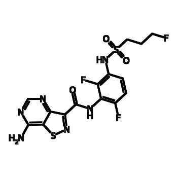 Nc1ncnc2c(C(=O)Nc3c(F)ccc(NS(=O)(=O)CCCF)c3F)nsc12